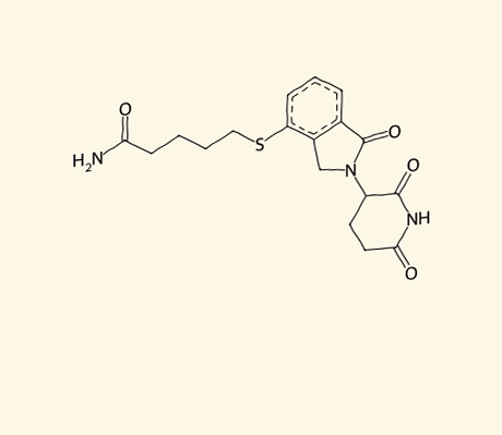 NC(=O)CCCCSc1cccc2c1CN(C1CCC(=O)NC1=O)C2=O